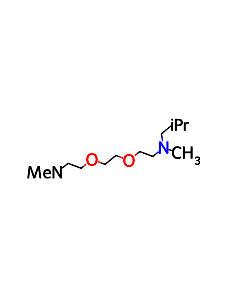 CNCCOCCOCCN(C)CC(C)C